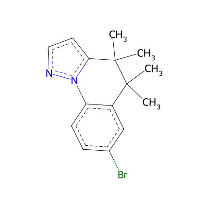 CC1(C)c2cc(Br)ccc2-n2nccc2C1(C)C